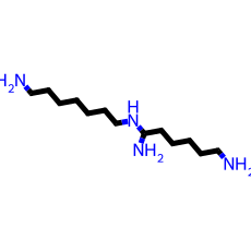 NCCCCCCCNC(N)CCCCCN